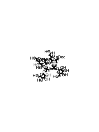 CCCCCCCCCCCCCOCC(CO[C@@H]1OC(CO)[C@@H](O)C(O)C1O)(CO[C@H](O)/C(O)=C(\O)[C@H](O)CCO)CSCC(COCCCCCCCCCCCCC)(CO[C@@H]1OC(CO)[C@@H](O)C(O)C1O)CO[C@H](O)/C(O)=C(\O)[C@H](O)CCO